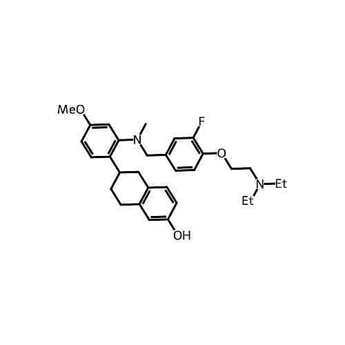 CCN(CC)CCOc1ccc(CN(C)c2cc(OC)ccc2C2CCc3cc(O)ccc3C2)cc1F